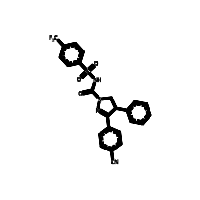 N#Cc1ccc(C2=NN(C(=O)NS(=O)(=O)c3ccc(C(F)(F)F)cc3)CC2c2ccccc2)cc1